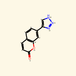 O=c1ccc2ccc(-c3c[nH]nn3)cc2o1